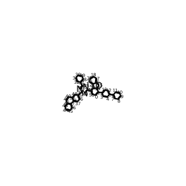 C1=C(c2ccc(-c3ccccc3)cc2)C2Oc3ccccc3C2C(c2nc(-c3ccccc3)nc(-c3ccc4c(ccc5ccccc54)c3)n2)=C1